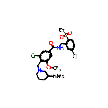 CCS(=O)(=O)c1ccc(Cl)cc1CNC(=O)c1cc(Cl)c(CN2CCCC(NC)C2)c(OC(F)(F)F)c1